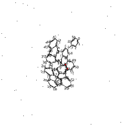 c1ccc(-c2ccc(N(c3ccc4c(c3)C3(c5ccccc5-c5ccccc53)c3ccccc3-4)c3cccc4c3sc3ccccc34)c(-c3ccccc3)c2)cc1